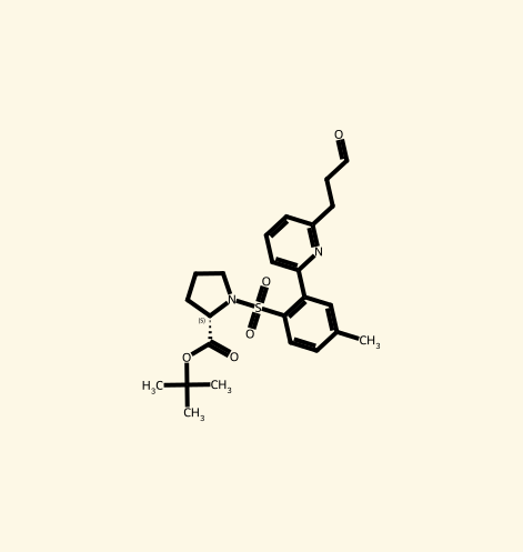 Cc1ccc(S(=O)(=O)N2CCC[C@H]2C(=O)OC(C)(C)C)c(-c2cccc(CCC=O)n2)c1